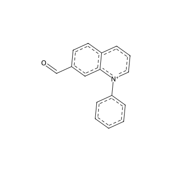 O=Cc1ccc2ccc[n+](-c3ccccc3)c2c1